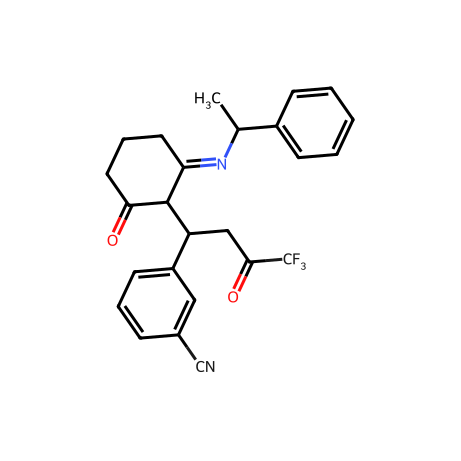 CC(N=C1CCCC(=O)C1C(CC(=O)C(F)(F)F)c1cccc(C#N)c1)c1ccccc1